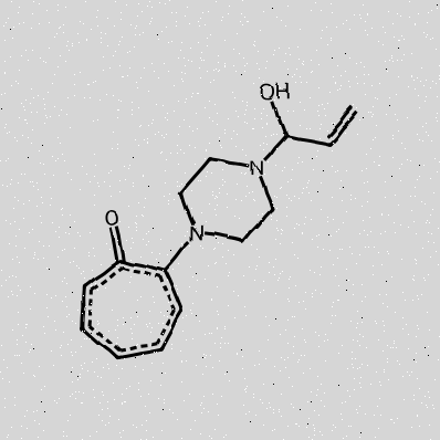 C=CC(O)N1CCN(c2cccccc2=O)CC1